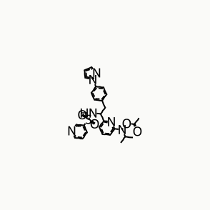 CC(=O)ON(c1cccc(C(Cc2ccc(-n3cccn3)cc2)NS(=O)(=O)c2cccnc2)n1)C(C)C